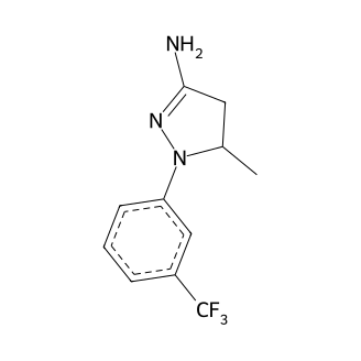 CC1CC(N)=NN1c1cccc(C(F)(F)F)c1